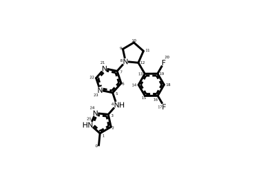 Cc1cc(Nc2cc(N3CCCC3c3ccc(F)cc3F)ncn2)n[nH]1